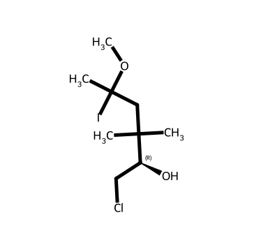 COC(C)(I)CC(C)(C)[C@@H](O)CCl